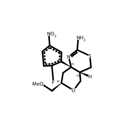 COC[C@H]1C[C@]2(c3cc([N+](=O)[O-])ccc3F)N=C(N)SC[C@@H]2CO1